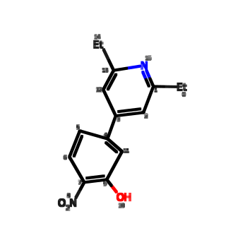 CCc1cc(-c2ccc([N+](=O)[O-])c(O)c2)cc(CC)n1